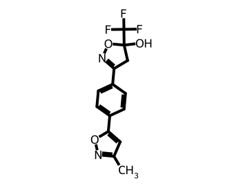 Cc1cc(-c2ccc(C3=NOC(O)(C(F)(F)F)C3)cc2)on1